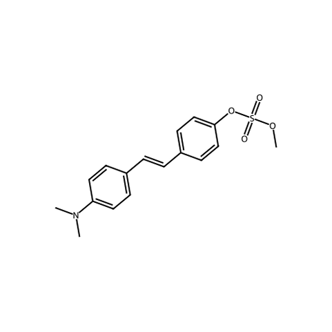 COS(=O)(=O)Oc1ccc(/C=C/c2ccc(N(C)C)cc2)cc1